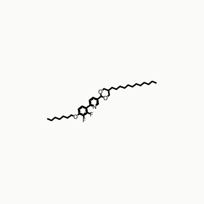 CCCCCCCCCCCCC1COC(c2ccc(-c3ccc(OCCCCCCC)c(F)c3F)nc2)OC1